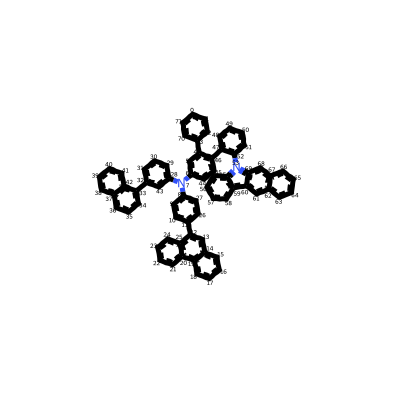 c1ccc(-c2cc(N(c3ccc(-c4cc5ccccc5c5ccccc45)cc3)c3cccc(-c4cccc5ccccc45)c3)ccc2-c2ccccc2-n2c3ccccc3c3cc4ccccc4cc32)cc1